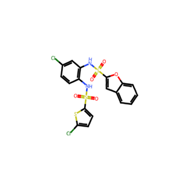 O=S(=O)(Nc1cc(Cl)ccc1NS(=O)(=O)c1ccc(Cl)s1)c1cc2ccccc2o1